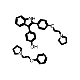 Oc1ccc(-c2c(-c3ccc(OCCN4CCCC4)cc3)[nH]c3ccccc23)cc1.c1ccc(OCCN2CCCC2)cc1